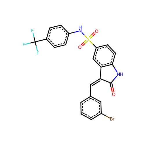 O=C1Nc2ccc(S(=O)(=O)Nc3ccc(C(F)(F)F)cc3)cc2C1=Cc1cccc(Br)c1